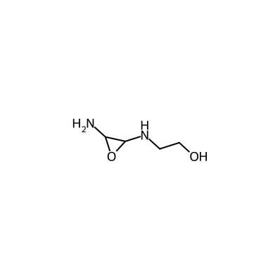 NC1OC1NCCO